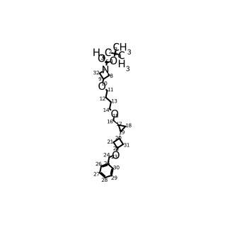 CC(C)(C)OC(=O)N1CC(OCCCCOC[C@H]2C[C@@H]2C2CC(OCc3ccccc3)C2)C1